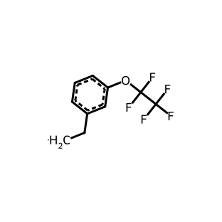 [CH2]Cc1cccc(OC(F)(F)C(F)(F)F)c1